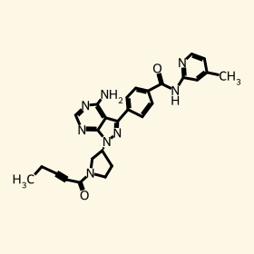 CCC#CC(=O)N1CC[C@@H](n2nc(-c3ccc(C(=O)Nc4cc(C)ccn4)cc3)c3c(N)ncnc32)C1